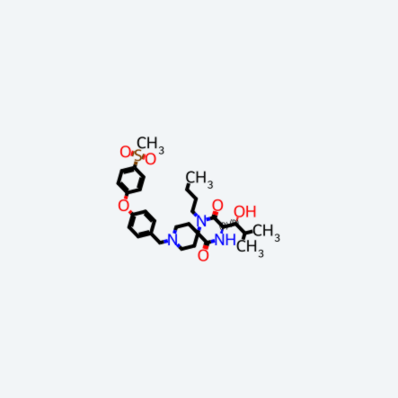 CCCCN1C(=O)[C@@H]([C@H](O)C(C)C)NC(=O)C12CCN(Cc1ccc(Oc3ccc(S(C)(=O)=O)cc3)cc1)CC2